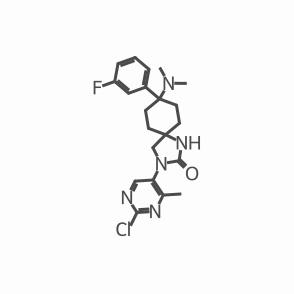 Cc1nc(Cl)ncc1N1CC2(CCC(c3cccc(F)c3)(N(C)C)CC2)NC1=O